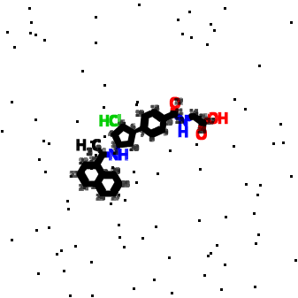 C[C@@H](N[C@H]1CC[C@@H](c2ccc(C(=O)NCC(=O)O)cc2)C1)c1cccc2ccccc12.Cl